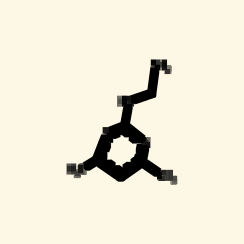 Cc1cc(C)nc(NCN)n1